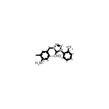 Cc1cc(CN2N=NN(c3ccccc3C(F)(F)F)C2C=O)ccc1N